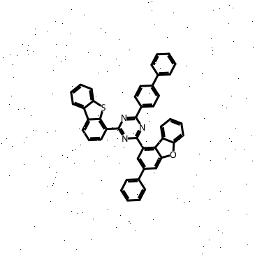 c1ccc(-c2ccc(-c3nc(-c4cccc5c4sc4ccccc45)nc(-c4cc(-c5ccccc5)cc5oc6ccccc6c45)n3)cc2)cc1